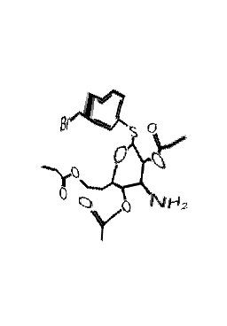 CC(=O)OCC1OC(Sc2cccc(Br)c2)C(OC(C)=O)C(N)C1OC(C)=O